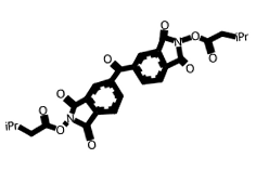 CC(C)CC(=O)ON1C(=O)c2ccc(C(=O)c3ccc4c(c3)C(=O)N(OC(=O)CC(C)C)C4=O)cc2C1=O